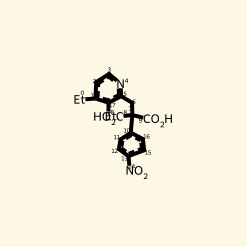 CCc1ccnc(CC(C(=O)O)(C(=O)O)c2ccc([N+](=O)[O-])cc2)c1CC